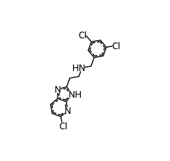 Clc1cc(Cl)cc(CNCCc2nc3ccc(Cl)nc3[nH]2)c1